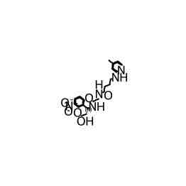 Cc1ccnc(NCCCC(=O)NCC(=O)N[C@H](CC(=O)O)c2cccc([N+](=O)[O-])c2)c1